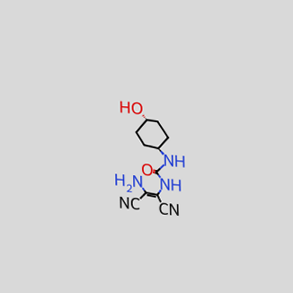 N#CC(N)=C(C#N)NC(=O)N[C@H]1CC[C@H](O)CC1